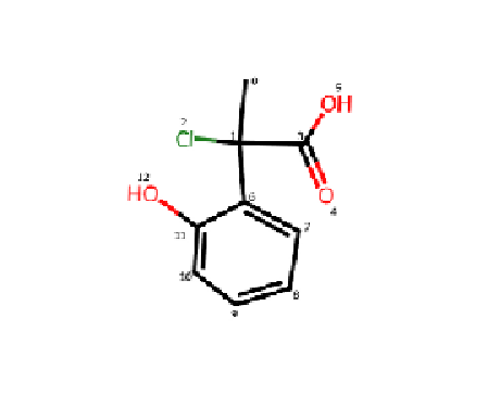 CC(Cl)(C(=O)O)c1ccccc1O